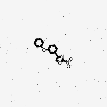 O=[N+]([O-])c1nc(-c2cccc(Oc3ccccc3)c2)co1